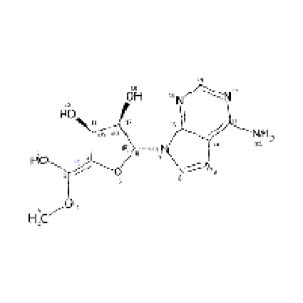 CO/C(O)=C1\O[C@@H](n2cnc3c(N)ncnc32)[C@H](O)[C@@H]1O